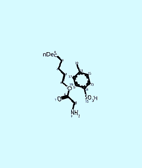 CCCCCCCCCCCCCCOC(=O)CN.Cc1ccc(S(=O)(=O)O)cc1